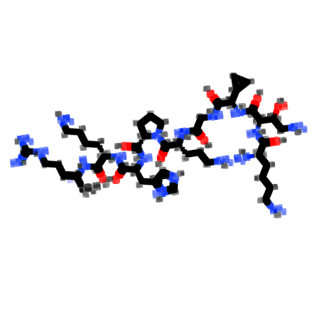 N=C(N)NCC/C=C(\NC(=O)[C@H](CCCCN)NC(=O)[C@H](Cc1cnc[nH]1)NC(=O)[C@@H]1CCCN1C(=O)[C@@H](CCCN)NC(=O)CNC(=O)[C@@H](NC(=O)[C@@H](NC(=O)[C@@H](N)CCCCN)[C@@H](O)CN)C1CC1)C(=O)O